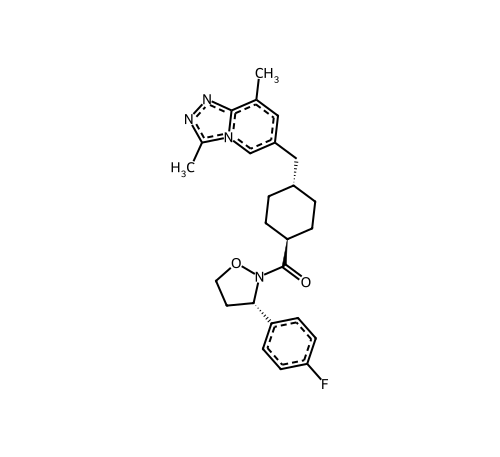 Cc1cc(C[C@H]2CC[C@H](C(=O)N3OCC[C@H]3c3ccc(F)cc3)CC2)cn2c(C)nnc12